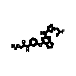 C=CC(=O)Nc1cccc(Oc2nc(Nc3cnn(CC(F)F)c3)nn3cccc23)c1